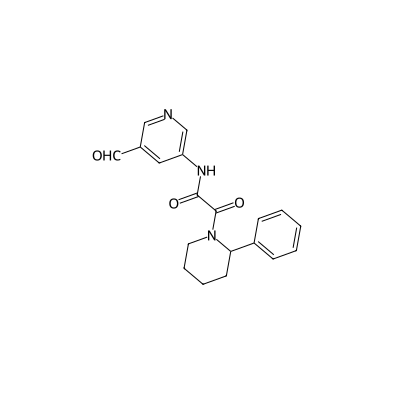 O=Cc1cncc(NC(=O)C(=O)N2CCCCC2c2ccccc2)c1